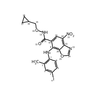 Cc1cc(I)ccc1Nc1c(C(=O)NOCC2CC2)cc([N+](=O)[O-])c2ncoc12